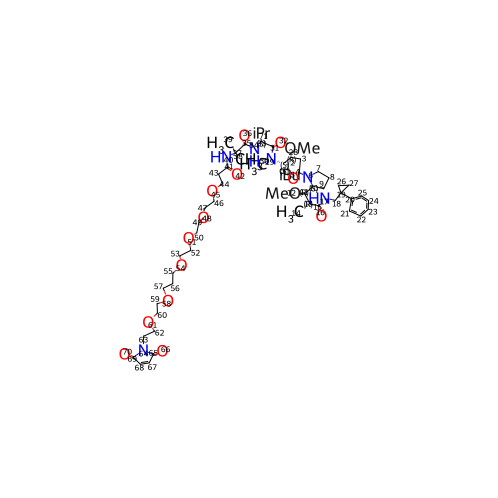 CC[C@H](C)[C@@H]([C@@H](CC(=O)N1CCC[C@H]1[C@H](OC)[C@@H](C)C(=O)NCC1(c2ccccc2)CC1)OC)N(C)C(=O)[C@@H](NC(=O)C(C)(C)NC(=O)CCOCCOCCOCCOCCCOCCOCCN1C(=O)C=CC1=O)C(C)C